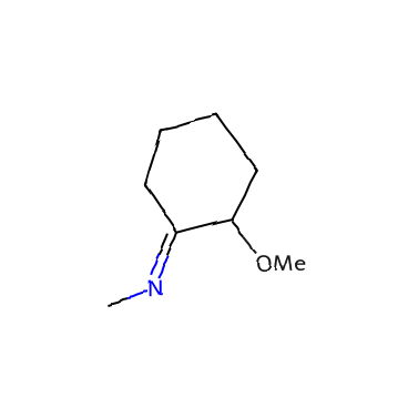 CN=C1CCCCC1OC